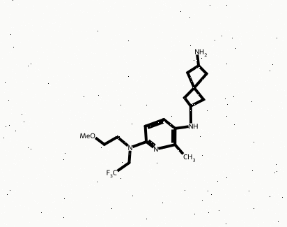 COCCN(CC(F)(F)F)c1ccc(NC2CC3(CC(N)C3)C2)c(C)n1